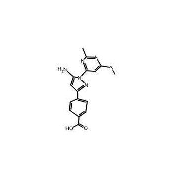 CSc1cc(-n2nc(-c3ccc(C(=O)O)cc3)cc2N)nc(C)n1